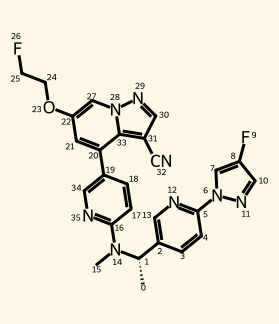 C[C@@H](c1ccc(-n2cc(F)cn2)nc1)N(C)c1ccc(-c2cc(OCCF)cn3ncc(C#N)c23)cn1